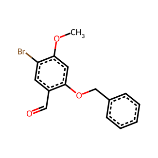 COc1cc(OCc2ccccc2)c(C=O)cc1Br